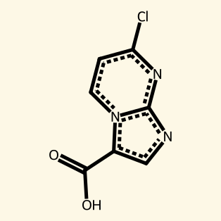 O=C(O)c1cnc2nc(Cl)ccn12